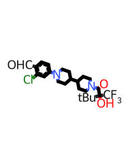 CC(C)(C)C(O)(C(=O)N1CCC(C2CCN(c3ccc(C=O)c(Cl)c3)CC2)CC1)C(F)(F)F